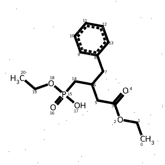 CCOC(=O)CC(Cc1ccccc1)CP(=O)(O)OCC